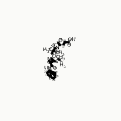 CC(C)Sc1c(OCC(C)(C)C(=O)N[C@H](C=O)CCC(=O)O)noc1C(=O)NC1C2CC3CC(C2)CC1C3